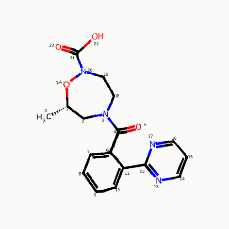 C[C@H]1CN(C(=O)c2ccccc2-c2ncccn2)CCN(C(=O)O)O1